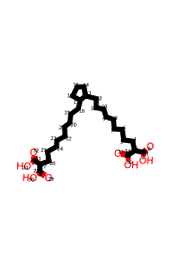 O=C(O)C(CCCCCCCCCC1CCCC1CCCCCCCCCC(C(=O)O)C(=O)O)C(=O)O